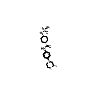 CC(C)S(=O)(=O)N[C@H]1CC[C@H](C(=O)Nc2ccc(N3CCO[C@H](C)C3)cc2)CC1